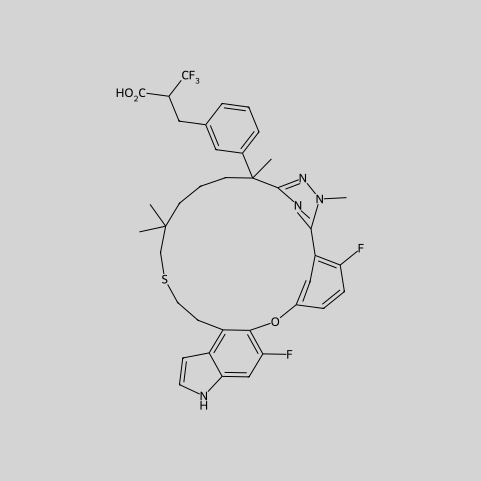 Cn1nc2nc1-c1cc(ccc1F)Oc1c(F)cc3[nH]ccc3c1CCSCC(C)(C)CCCC2(C)c1cccc(CC(C(=O)O)C(F)(F)F)c1